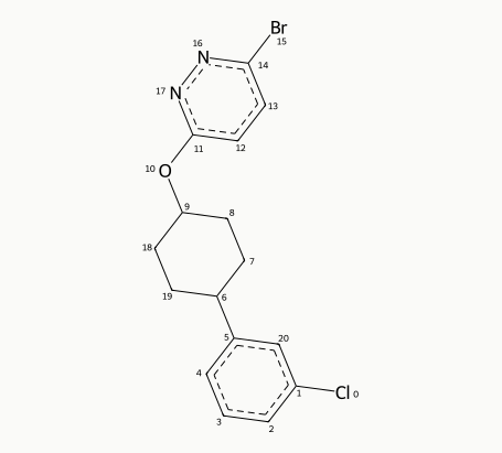 Clc1cccc(C2CCC(Oc3ccc(Br)nn3)CC2)c1